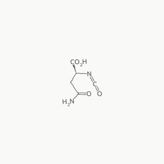 NC(=O)C[C@H](N=C=O)C(=O)O